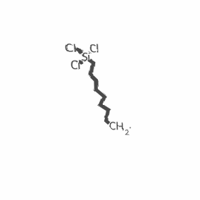 [CH2]CCCCCCCC[Si](Cl)(Cl)Cl